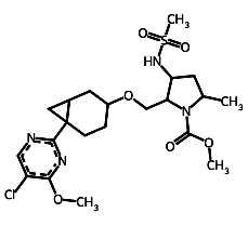 COC(=O)N1C(C)CC(NS(C)(=O)=O)C1COC1CCC2(c3ncc(Cl)c(OC)n3)CC2C1